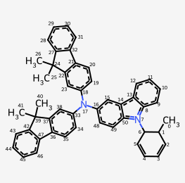 CC1C=CC=CC1n1c2ccccc2c2cc(N(c3ccc4c(c3)C(C)(C)c3ccccc3-4)c3ccc4c(c3)C(C)(C)c3ccccc3-4)ccc21